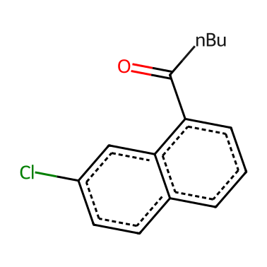 CCCCC(=O)c1cccc2ccc(Cl)cc12